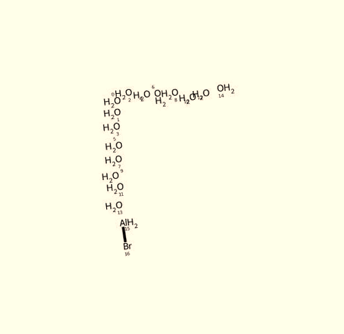 O.O.O.O.O.O.O.O.O.O.O.O.O.O.O.[AlH2][Br]